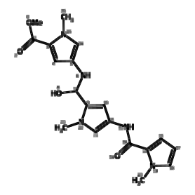 COC(=O)c1cc(NC(O)c2cc(NC(=O)c3cccn3C)cn2C)cn1C